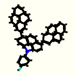 Fc1ccc(-n2c3ccc(-c4cc5ccc6cccc7ccc(c4)c5c67)c4ccc5c(-c6cc7ccc8cccc9ccc(c6)c7c89)ccc2c5c43)cc1